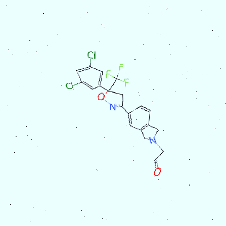 O=CCN1Cc2ccc(C3=NOC(c4cc(Cl)cc(Cl)c4)(C(F)(F)F)C3)cc2C1